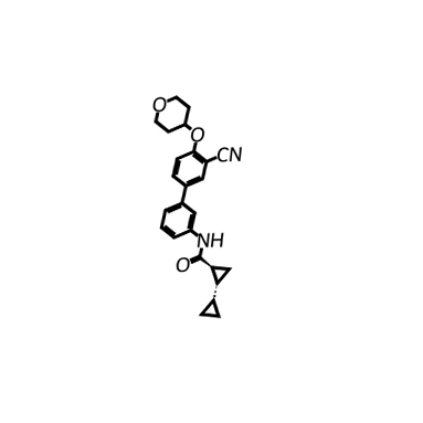 N#Cc1cc(-c2cccc(NC(=O)[C@H]3C[C@@H]3C3CC3)c2)ccc1OC1CCOCC1